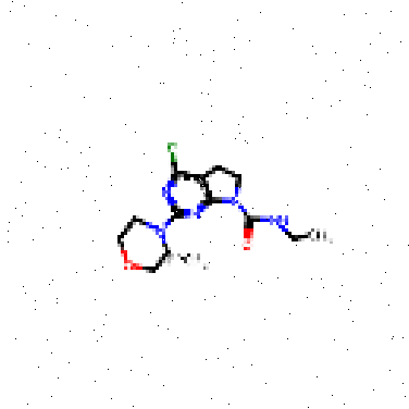 CCNC(=O)N1CCc2c(Cl)nc(N3CCOC[C@H]3C)nc21